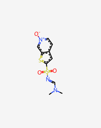 CN(C)C=NS(=O)(=O)c1cc2cc[n+]([O-])cc2s1